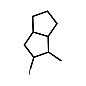 CC1C(I)CC2CCCC21